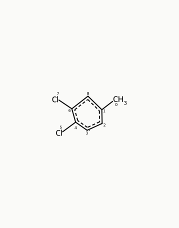 Cc1c[c]c(Cl)c(Cl)c1